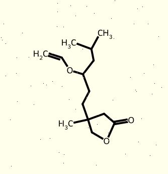 C=COC(CCC1(C)COC(=O)C1)CC(C)C